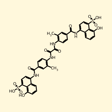 Cc1cc(C(=O)Nc2ccc(S(=O)(=O)O)c3c(O)cccc23)ccc1NC(=O)C(=O)Nc1ccc(C(=O)Nc2ccc(S(=O)(=O)O)c3c(O)cccc23)cc1C